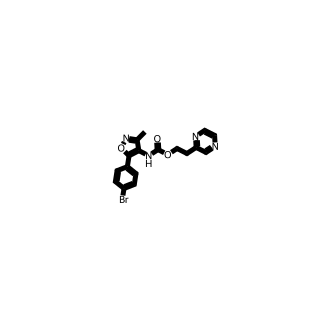 Cc1noc(-c2ccc(Br)cc2)c1NC(=O)OCCc1cnccn1